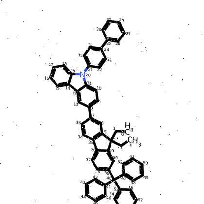 CCC1(CC)c2cc(-c3ccc4c(c3)c3ccccc3n4-c3ccc(-c4ccccc4)cc3)ccc2-c2ccc(C(c3ccccc3)(c3ccccc3)c3ccccc3)cc21